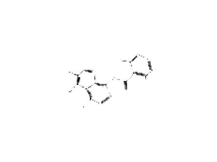 Cc1cnc2c(NC(=O)c3c(Cl)cccc3Cl)ccc(C)c2c1Cl